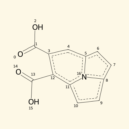 O=C(O)c1cc2ccc3ccc(c1C(=O)O)n32